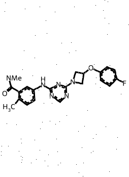 CNC(=O)c1cc(Nc2ncnc(N3CC(Oc4ccc(F)cc4)C3)n2)ccc1C